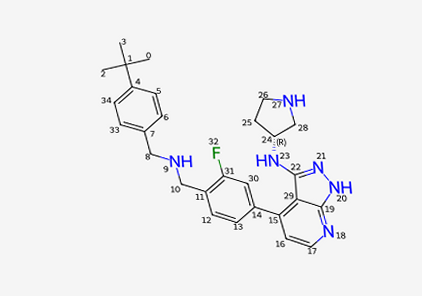 CC(C)(C)c1ccc(CNCc2ccc(-c3ccnc4[nH]nc(N[C@@H]5CCNC5)c34)cc2F)cc1